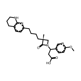 COc1ccc(C(CC(=O)O)N2C[C@@](C)(CCCCc3ccc4c(n3)NCCC4)C2=O)cn1